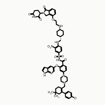 CC1(C)CCC(CN2CCN(c3ccc(C(=O)NS(=O)(=O)c4ccc(NC[C@H]5CC[C@H](NCCOc6cccc7c6CN(C6CCC(=O)NC6=O)C7=O)CC5)c([N+](=O)[O-])c4)c(Oc4cnc5[nH]ccc5c4)c3)CC2)=C(c2ccc(Cl)cc2)C1